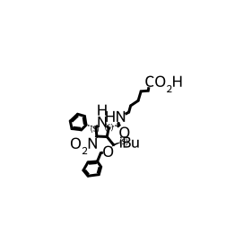 CC[C@H](C)C(OCc1ccccc1)C1C([N+](=O)[O-])[C@H](c2ccccc2)N[C@@H]1C(=O)NCCCCCC(=O)O